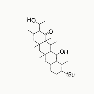 CC(O)C1C(=O)C2(C)C(C)C3C(O)C4C(CCC(C(C)(C)C)C4C)CC3(C)CC2(C)CC1C